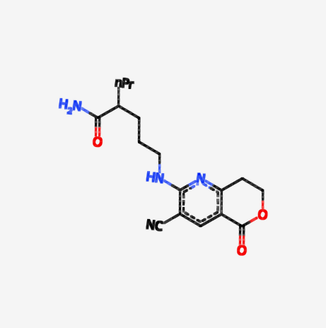 CCCC(CCCNc1nc2c(cc1C#N)C(=O)OCC2)C(N)=O